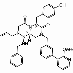 C=CCN1CC(=O)N2[C@@H](Cc3ccc(O)cc3)C(=O)N(Cc3cccc(-c4cccnc4OC)c3)C[C@@H]2N1NCc1ccccc1